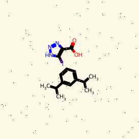 CC(C)c1cccc(C(C)C)c1.O=C(O)c1nn[nH]c1I